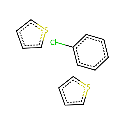 Clc1ccccc1.c1ccsc1.c1ccsc1